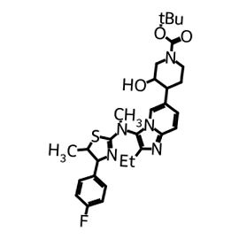 CCc1nc2ccc(C3CCN(C(=O)OC(C)(C)C)CC3O)cn2c1N(C)C1=NC(c2ccc(F)cc2)C(C)S1